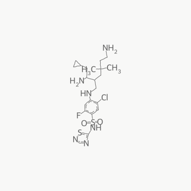 CC(C)(CCN)CC(CNc1cc(F)c(S(=O)(=O)Nc2ncns2)cc1Cl)C(N)CC1CC1